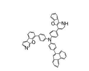 C1=C(c2ccc(N(c3ccc(-c4cc5ccccc5c5ccccc45)cc3)c3ccc(-c4cccc5c4oc4cnccc45)cc3)cc2)c2oc3ccccc3c2NC1